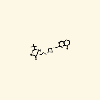 CC(C)(C)C(=O)N[C@@H](CCO[C@H]1C[C@H](CCc2ccc3c(n2)NCCC3)C1)C(=O)O